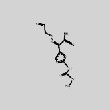 CC(C)(C)OC(=O)Nc1nc(/C(=N/OCC=N)C(N)=O)cs1